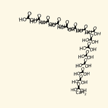 O=C(O)O.O=C(O)O.O=C(O)O.O=C(O)O.O=C(O)O.O=C(O)O.O=C(O)O.O=C(O)O.O=C(O)O.O=C(O)O.O=C(O)O.O=C(O)O.O=C(O)O.O=C(O)O.O=C(O)O.[CaH2]